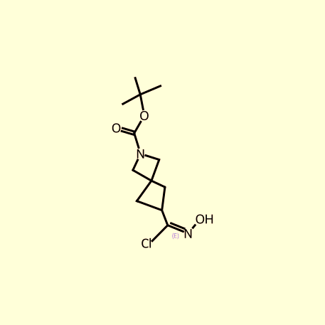 CC(C)(C)OC(=O)N1CC2(CC(/C(Cl)=N\O)C2)C1